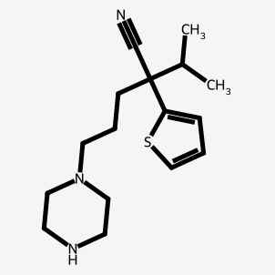 CC(C)C(C#N)(CCCN1CCNCC1)c1cccs1